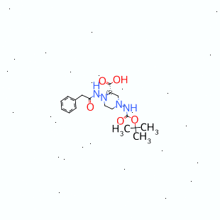 CC(C)(C)OC(=O)NN1CCN(NC(=O)Cc2ccccc2)[C@H](C(=O)O)C1